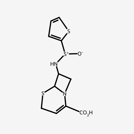 O=C(O)C1=CCSC2C(N[S+]([O-])c3cccs3)CN12